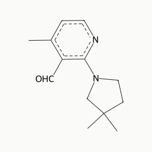 Cc1ccnc(N2CCC(C)(C)C2)c1C=O